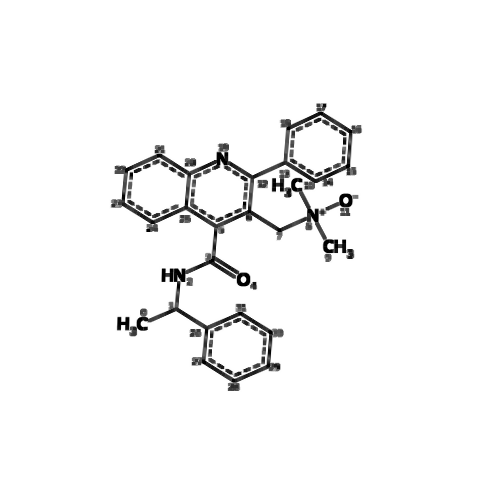 CC(NC(=O)c1c(C[N+](C)(C)[O-])c(-c2ccccc2)nc2ccccc12)c1ccccc1